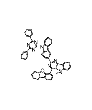 C[Si]1(C)c2ccccc2-c2nc(-c3ccc4c(c3)c3ccccc3n4-c3nc(-c4ccccc4)nc(-c4ccccc4)n3)nc(-c3cccc4c3oc3ccccc34)c21